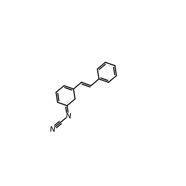 N#CN=C1C=CC=C(C=Cc2ccccc2)C1